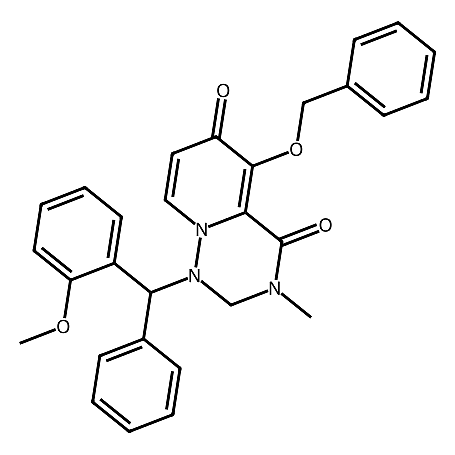 COc1ccccc1C(c1ccccc1)N1CN(C)C(=O)c2c(OCc3ccccc3)c(=O)ccn21